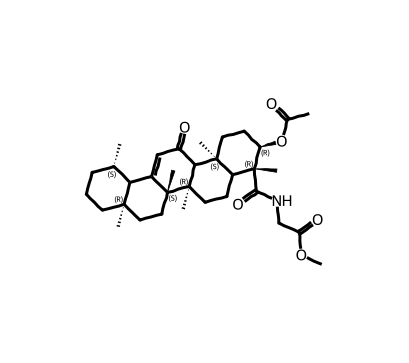 COC(=O)CNC(=O)[C@]1(C)C2CC[C@]3(C)C(C(=O)C=C4C5[C@@H](C)CCC[C@]5(C)CC[C@]43C)[C@@]2(C)CC[C@H]1OC(C)=O